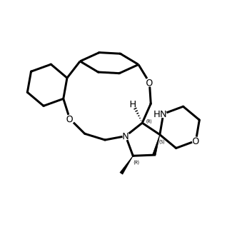 C[C@@H]1C[C@@]2(COCCN2)[C@@H]2COC3CCC(CC3)C3CCCCC3OCCN12